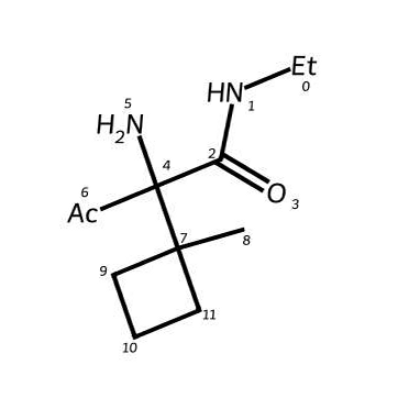 CCNC(=O)C(N)(C(C)=O)C1(C)CCC1